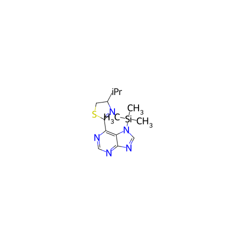 CC(C)C1CSC(c2ncnc3ncn([Si](C)(C)C)c23)=N1